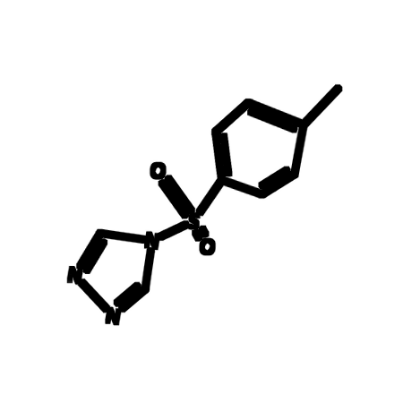 Cc1ccc(S(=O)(=O)n2cnnc2)cc1